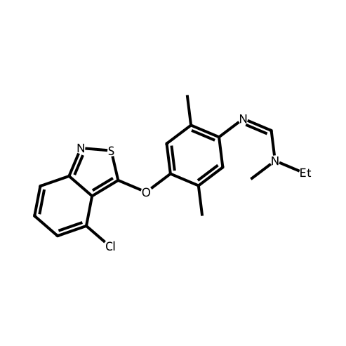 CCN(C)/C=N\c1cc(C)c(Oc2snc3cccc(Cl)c23)cc1C